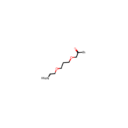 CNCCOCCCOCC(=O)C(C)C